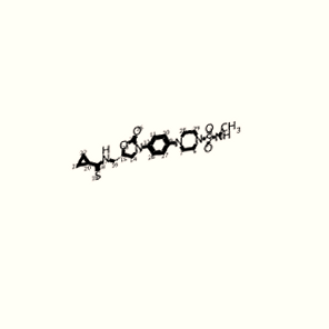 CNS(=O)(=O)N1CCN(c2ccc(N3C[C@H](CNC(=S)C4CC4)OC3=O)cc2)CC1